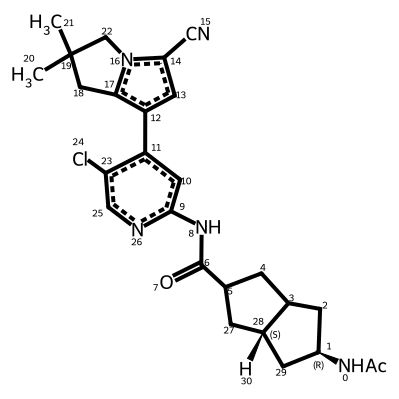 CC(=O)N[C@@H]1CC2CC(C(=O)Nc3cc(-c4cc(C#N)n5c4CC(C)(C)C5)c(Cl)cn3)C[C@H]2C1